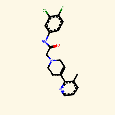 Cc1cccnc1C1=CCN(CC(=O)Nc2ccc(F)c(Cl)c2)CC1